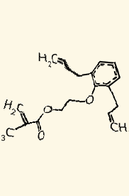 C=CCc1cccc(CC=C)c1OCCOC(=O)C(=C)C